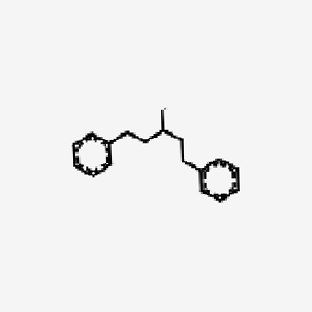 [CH2]C(CCc1ccccc1)CCc1ccccc1